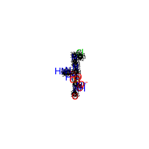 O=C(NS(=O)(=O)c1ccc(NCC2CCOCC2)c([N+](=O)[O-])c1)c1ccc(N2CCC3(CC2)CC(N2CCC[C@H]2c2ccccc2Cl)C3)cc1Oc1cnc2[nH]ccc2c1